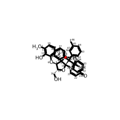 COC1(OC)[C@H](Oc2cccc(C)c2O)[C@@H](CO)O[C@]1(n1ccc(=O)[nH]c1=O)C(c1ccccc1)(c1ccccc1)c1cccc(I)c1